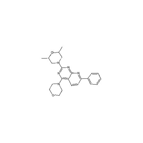 CC1CN(c2nc(N3CCOCC3)c3ccc(-c4ccccc4)nc3n2)CC(C)O1